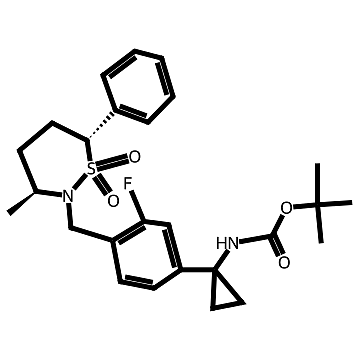 C[C@H]1CC[C@H](c2ccccc2)S(=O)(=O)N1Cc1ccc(C2(NC(=O)OC(C)(C)C)CC2)cc1F